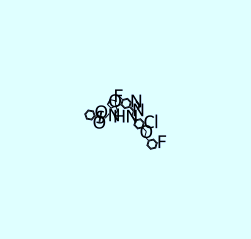 CN(CCS(=O)(=O)c1ccccc1)CC1(c2cc3c(Nc4ccc(OCc5cccc(F)c5)c(Cl)c4)ncnc3cc2F)CC=CO1